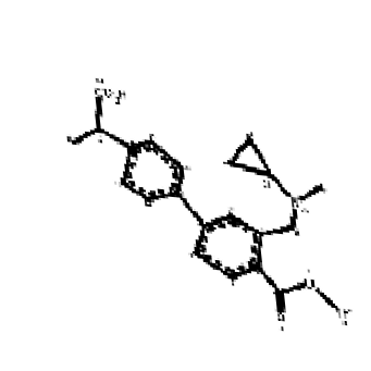 CC(C)OC(=O)c1ccc(-c2ccc(C(C)C(=O)O)cc2)cc1CN(C)C1CC1